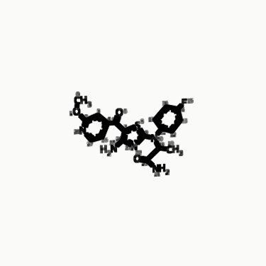 COc1cc(C(=O)c2sc(N(c3ccc(F)cc3)C(C)C(N)=O)nc2N)ccn1